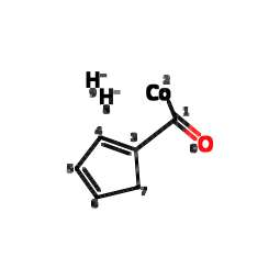 O=[C]([Co])C1=CC=CC1.[H-].[H-]